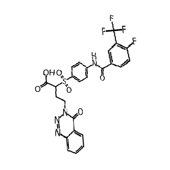 O=C(Nc1ccc(S(=O)(=O)C(CCn2nnc3ccccc3c2=O)C(=O)O)cc1)c1ccc(F)c(C(F)(F)F)c1